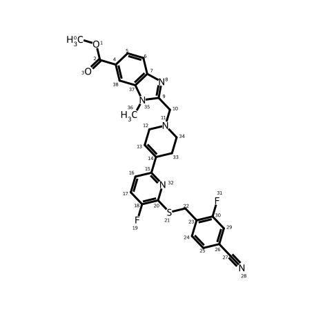 COC(=O)c1ccc2nc(CN3CC=C(c4ccc(F)c(SCc5ccc(C#N)cc5F)n4)CC3)n(C)c2c1